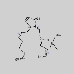 CC/C=C\C[C@@H](C/C=C1/C(=O)C=C[C@@H]1C/C=C\CCCC=O)O[Si](C)(C)C(C)(C)C